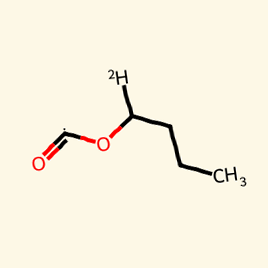 [2H]C(CCC)O[C]=O